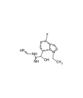 CCn1ccc2c(F)ccc(C(O)C(=N)NC=P)c21